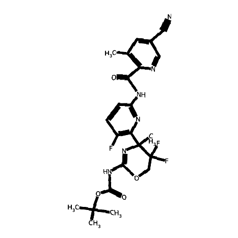 Cc1cc(C#N)cnc1C(=O)Nc1ccc(F)c(C2(C)N=C(NC(=O)OC(C)(C)C)OCC2(F)F)n1